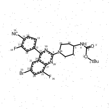 CC(C)(C)OC(=O)NC1CCN(c2nc(-c3ccc(C#N)c(F)c3)c3cc(Br)cc(F)c3n2)CC1